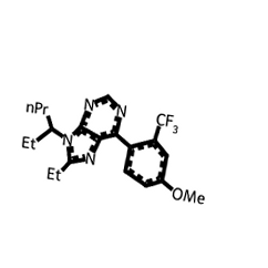 CCCC(CC)n1c(CC)nc2c(-c3ccc(OC)cc3C(F)(F)F)ncnc21